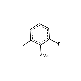 CSc1c(F)cccc1F